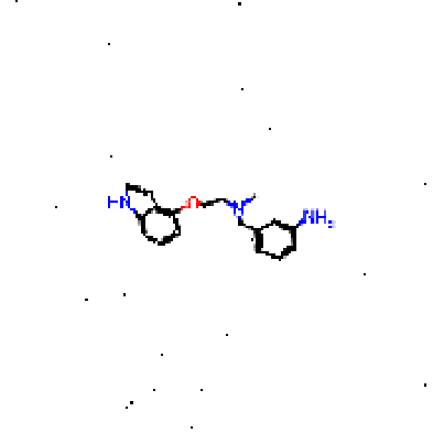 CN(CCOc1cccc2[nH]ccc12)Cc1cccc(N)c1